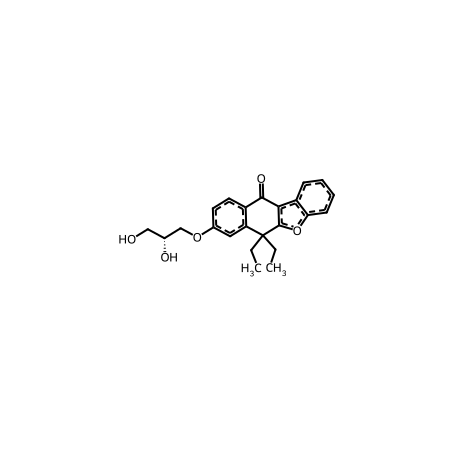 CCC1(CC)c2cc(OC[C@H](O)CO)ccc2C(=O)c2c1oc1ccccc21